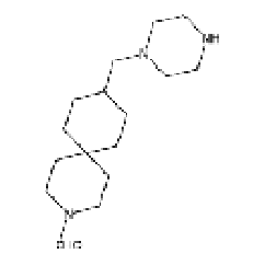 O=CN1CCC2(CCC(CN3CCNCC3)CC2)CC1